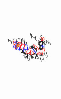 C=CC1C[C@]1(NC(=O)[C@@H]1C[C@@H](Oc2cc(OCC)nc3c(C)c(OC)ccc23)CN1C(=O)[C@@H](O)C(C)(C)C)C(=O)NS(=O)(=O)N(C)OC